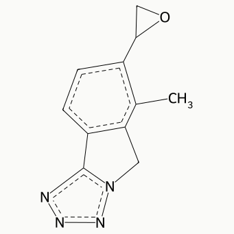 Cc1c(C2CO2)ccc2c1Cn1nnnc1-2